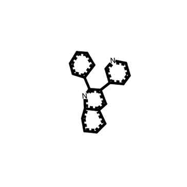 c1ccc(-c2nc3ccccc3cc2-c2cccnc2)cc1